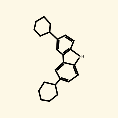 c1cc2[nH]c3ccc(C4CCCCC4)cc3c2cc1C1CCCCC1